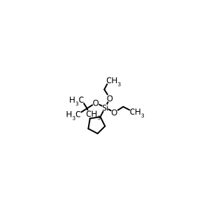 CCO[Si](OCC)(OC(C)(C)C)C1CCCC1